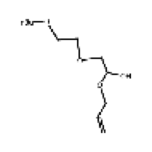 C=CCOC(O)COCCOCCCC